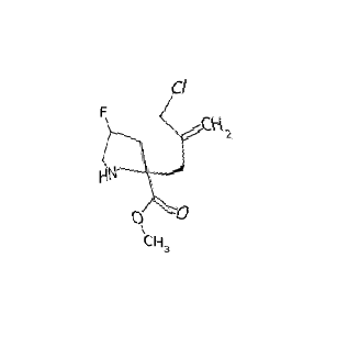 C=C(CCl)C[C@]1(C(=O)OC)CC(F)CN1